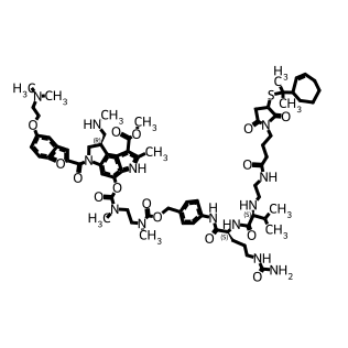 CNC[C@@H]1CN(C(=O)c2cc3cc(OCCN(C)C)ccc3o2)c2cc(OC(=O)N(C)CCN(C)C(=O)OCc3ccc(NC(=O)[C@H](CCCNC(N)=O)NC(=O)[C@@H](NCCNC(=O)CCCN4C(=O)CC(SC(C)(C)C5C=CCCCC5)C4=O)C(C)C)cc3)c3[nH]c(C)c(C(=O)OC)c3c21